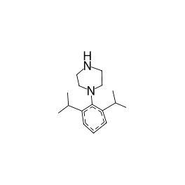 CC(C)c1cccc(C(C)C)c1N1CCNCC1